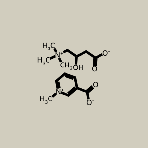 C[N+](C)(C)CC(O)CC(=O)[O-].C[n+]1cccc(C(=O)[O-])c1